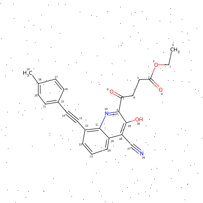 CCOC(=O)CCC(=O)c1nc2c(C#Cc3ccc(C)cc3)cccc2c(C#N)c1O